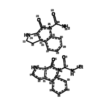 CCNC(=O)n1c(=O)c2[nH]ccc2c2ccccc21.NC(=O)n1c(=O)c2c(c3ccccc31)CCN2